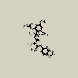 Cc1cc(C)c(C(C)(C)CC(=O)N(C)C(C)Cc2ccc3c(c2)OCO3)c(OC(=O)C(C)C)c1